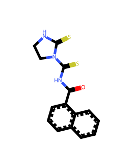 O=C(NC(=S)N1CCNC1=S)c1cccc2ccccc12